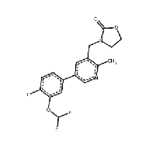 Cc1ncc(-c2ccc(F)c(OC(F)F)c2)cc1CN1CCOC1=O